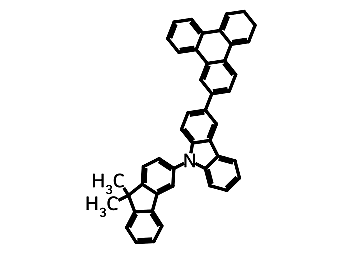 CC1(C)c2ccccc2-c2cc(-n3c4ccccc4c4cc(-c5ccc6c7c(c8ccccc8c6c5)=CCCC=7)ccc43)ccc21